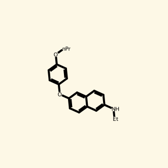 CCCOc1ccc(Oc2ccc3cc(NCC)ccc3c2)cc1